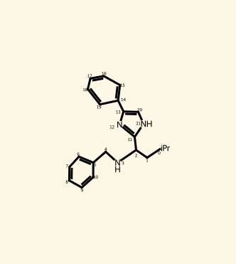 CC(C)CC(NCc1ccccc1)c1nc(-c2ccccc2)c[nH]1